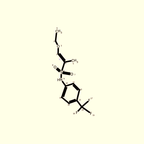 CCO/C=C(\C)S(=O)(=O)Nc1ccc(C(F)(F)F)cc1